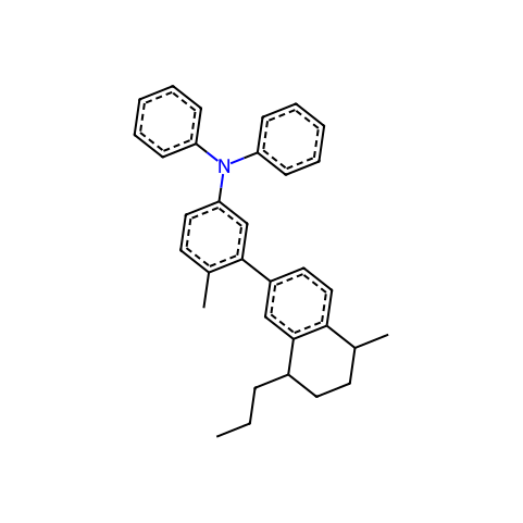 CCCC1CCC(C)c2ccc(-c3cc(N(c4ccccc4)c4ccccc4)ccc3C)cc21